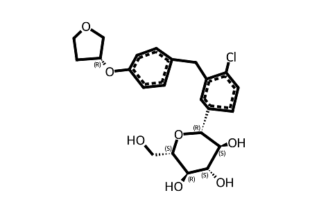 OC[C@@H]1O[C@H](c2ccc(Cl)c(Cc3ccc(O[C@@H]4CCOC4)cc3)c2)[C@@H](O)[C@H](O)[C@H]1O